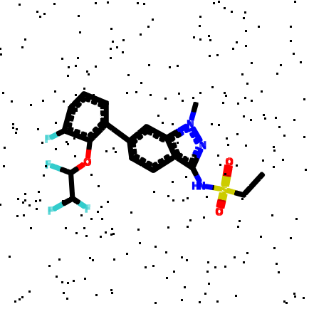 CCS(=O)(=O)Nc1nn(C)c2cc(-c3cccc(F)c3OC(F)C(F)F)ccc12